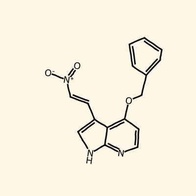 O=[N+]([O-])/C=C/c1c[nH]c2nccc(OCc3ccccc3)c12